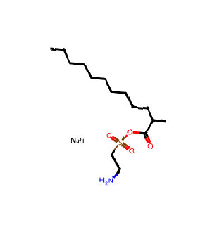 CCCCCCCCCCC(C)C(=O)OS(=O)(=O)CCN.[NaH]